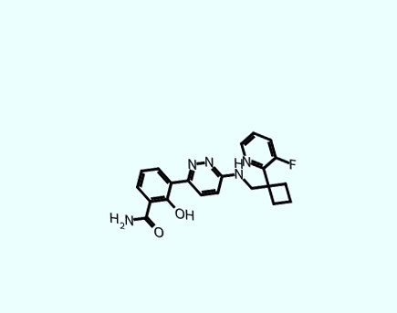 NC(=O)c1cccc(-c2ccc(NCC3(c4ncccc4F)CCC3)nn2)c1O